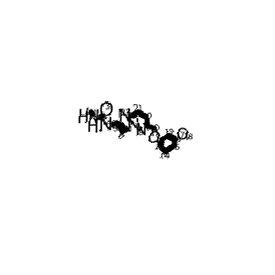 CNC(=O)Nc1cn2nc(COc3cccc(OC)c3)ccc2n1